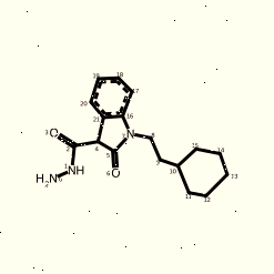 NNC(=O)C1C(=O)N(CCC2CCCCC2)c2ccccc21